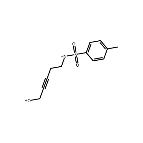 Cc1ccc(S(=O)(=O)NCCC#CCO)cc1